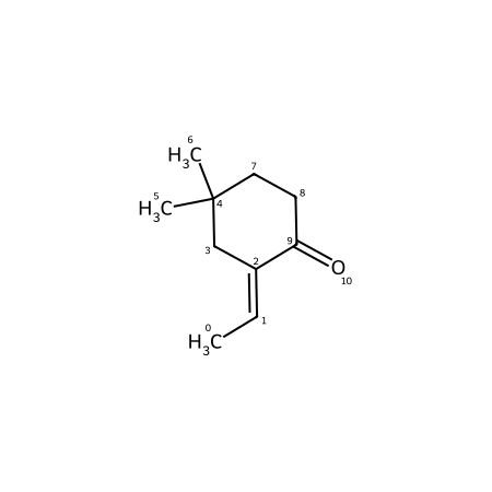 C/C=C1\CC(C)(C)CCC1=O